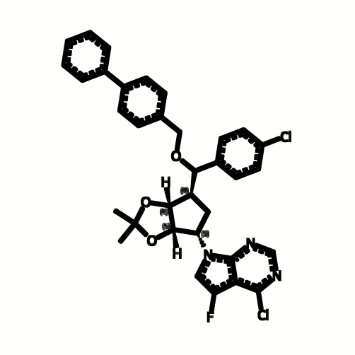 CC1(C)O[C@@H]2[C@H](O1)[C@@H](C(OCc1ccc(-c3ccccc3)cc1)c1ccc(Cl)cc1)C[C@@H]2n1cc(F)c2c(Cl)ncnc21